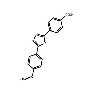 CCCCOc1ccc(-c2nnc(-c3ccc(C(=O)O)cc3)o2)cc1